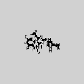 CC(Nc1nc(Nc2cc(C3CC3)[nH]n2)nc(C2CC2)n1)c1ncc(F)cc1F